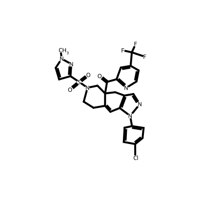 Cn1ccc(S(=O)(=O)N2CCC3=Cc4c(cnn4-c4ccc(Cl)cc4)CC3(C(=O)c3cc(C(F)(F)F)ccn3)C2)n1